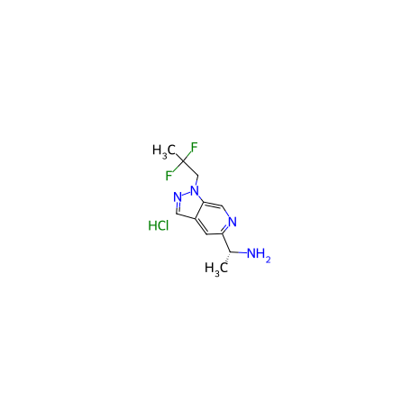 C[C@@H](N)c1cc2cnn(CC(C)(F)F)c2cn1.Cl